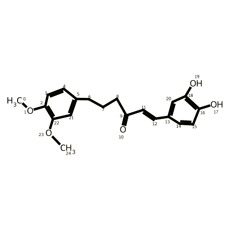 COc1ccc(CCCC(=O)/C=C/c2ccc(O)c(O)c2)cc1OC